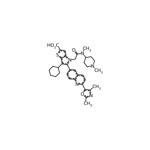 Cc1nc(C)c(-c2ccc3cc(-c4c(C5CCCCC5)c5sc(C(=O)O)cc5n4CC(=O)N(C)C4CCN(C)CC4)ccc3n2)o1